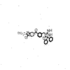 CCOC(=O)c1nc2n(c1Cl)CCN(C(=O)c1cccc(CN3C(=N)NC(c4ccccc4)(c4ccccc4)C3=O)c1)C2